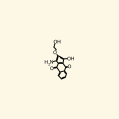 Nc1c(OCCO)cc(O)c2c1C(=O)c1ccccc1C2=O